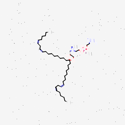 CCCCC/C=C\C/C=C\CCCCCCCCC1(CCCCCCCC/C=C\C/C=C\CCCCC)OC[C@H](CN(C)CCOP(C)(=O)OCCN)O1